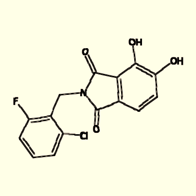 O=C1c2ccc(O)c(O)c2C(=O)N1Cc1c(F)cccc1Cl